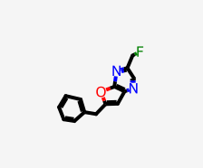 FCc1cnc2cc(Cc3ccccc3)oc2n1